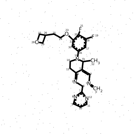 C=N/C=C1\C(=N/Cc2ncccn2)CCN(c2cc(F)c(F)c(OCCC3COC3)c2)C1C